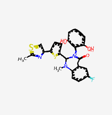 Cc1nc(-c2ccc(C3N(C)c4ccc(F)cc4C(=O)N3c3c(O)cccc3O)s2)cs1